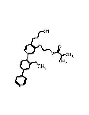 C=C(C)C(=O)OCCOc1cc(-c2ccc(-c3ccccc3)cc2CC)ccc1CCCS